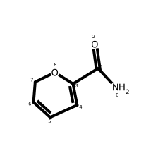 NC(=O)C1=CC=CCO1